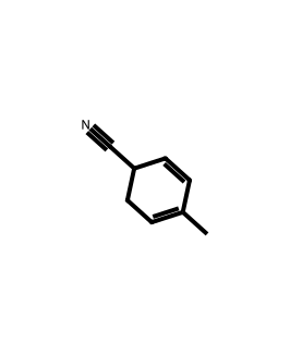 CC1=CCC(C#N)C=C1